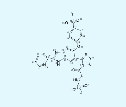 CS(=O)(=O)NCC(=O)N1CCCC1c1cc2[nH]c(-c3ccccn3)nc2cc1Oc1ccc(S(C)(=O)=O)cc1